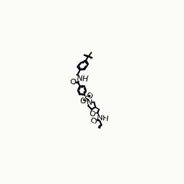 C=CC(=O)NC1CC2CN(S(=O)(=O)c3ccc(C(=O)NCc4ccc(C(C)(C)C)cc4)cc3)CC2O1